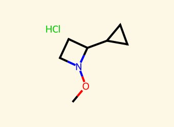 CON1CCC1C1CC1.Cl